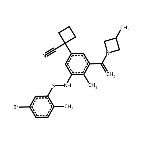 C=C(c1cc(C2(C#N)CCC2)cc(NSc2cc(Br)ccc2C)c1C)N1CC(C)C1